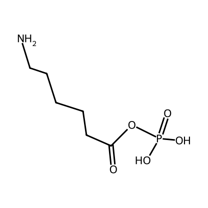 NCCCCCC(=O)OP(=O)(O)O